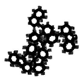 c1ccc(-c2cccc3ccccc23)c(-c2ccccc2N(c2ccc(-c3cccc4oc5ccccc5c34)cc2)c2ccc3c(c2)C2(c4ccccc4-3)c3ccccc3-n3c4ccccc4c4cccc2c43)c1